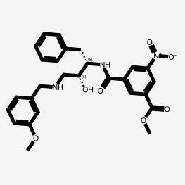 COC(=O)c1cc(C(=O)N[C@@H](Cc2ccccc2)[C@H](O)CNCc2cccc(OC)c2)cc([N+](=O)[O-])c1